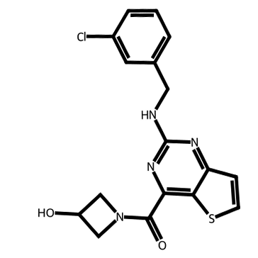 O=C(c1nc(NCc2cccc(Cl)c2)nc2ccsc12)N1CC(O)C1